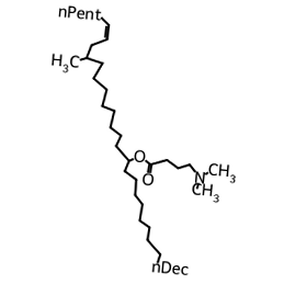 CCCCC/C=C\CC(C)CCCCCCCCC(CCCCCCCCCCCCCCCCCC)OC(=O)CCCN(C)C